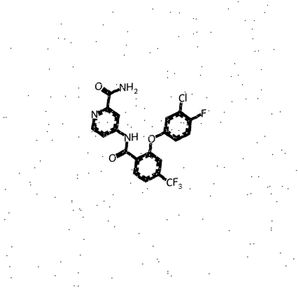 NC(=O)c1cc(NC(=O)c2ccc(C(F)(F)F)cc2Oc2ccc(F)c(Cl)c2)ccn1